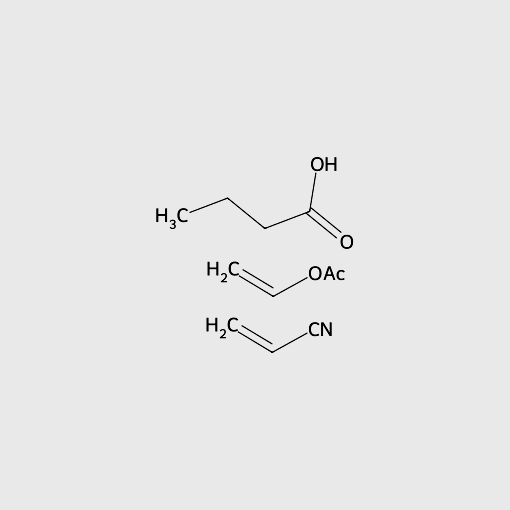 C=CC#N.C=COC(C)=O.CCCC(=O)O